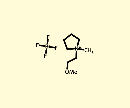 COCC[N+]1(C)CCCC1.F[B-](F)(F)F